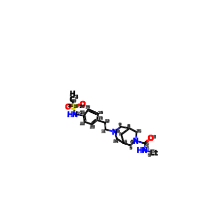 CCNC(=O)N1CC2CC(CN(CCc3ccc(NS(C)(=O)=O)cc3)C2)C1